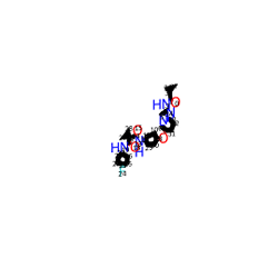 O=C(Nc1cn2cc(Oc3ccc(NC(=O)C4(C(=O)Nc5ccc(F)cc5)CC4)cc3)ccc2n1)C1CC1